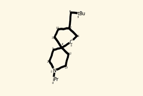 CC(C)N1CCC2(CCC(CC(C)(C)C)CC2)CC1